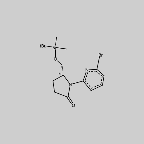 CC(C)(C)[Si](C)(C)OC[C@H]1CCC(=O)N1c1cccc(Br)n1